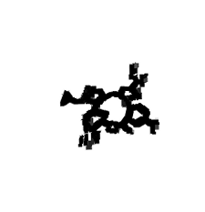 CC1Oc2cc(cnc2N)-c2c(cnn2CC2CC2)Cc2cc(C(F)F)nn2-c2ccc(F)cc21